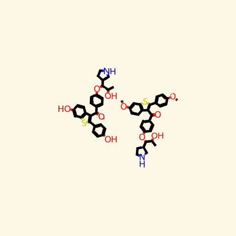 CC(O)C(Oc1ccc(C(=O)c2c(-c3ccc(O)cc3)sc3cc(O)ccc23)cc1)C1CCNC1.COc1ccc(-c2sc3cc(OC)ccc3c2C(=O)c2ccc(OC(C(C)O)C3CCNC3)cc2)cc1